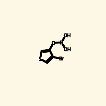 OB(O)Oc1cscc1Br